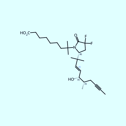 CC#CC[C@H](C)[C@H](O)/C=C/C(C)(C)[C@H]1CC(F)(F)C(=O)N1C(C)(C)CCCCCCC(=O)O